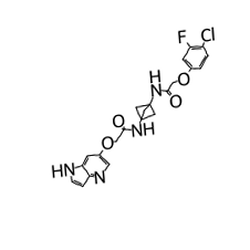 O=C(COc1ccc(Cl)c(F)c1)NC12CC(NC(=O)COc3cnc4cc[nH]c4c3)(C1)C2